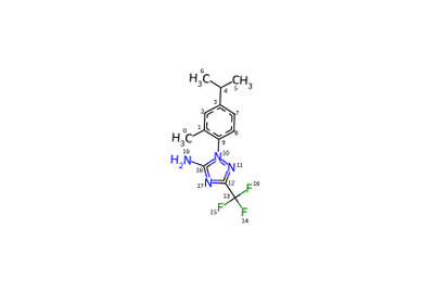 Cc1cc(C(C)C)ccc1-n1nc(C(F)(F)F)nc1N